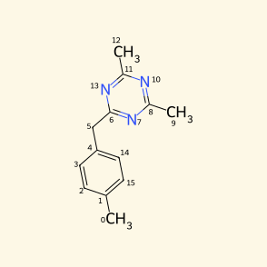 Cc1ccc(Cc2nc(C)nc(C)n2)cc1